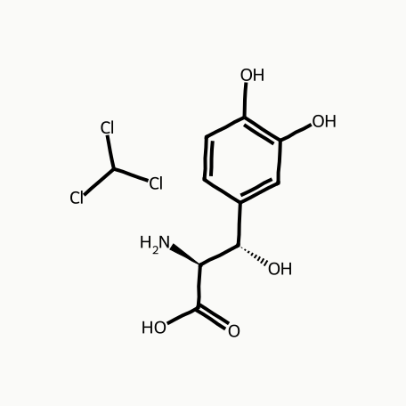 ClC(Cl)Cl.N[C@H](C(=O)O)[C@@H](O)c1ccc(O)c(O)c1